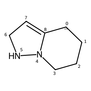 [C]1CCCN2NCC=C12